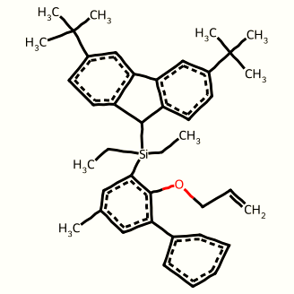 C=CCOc1c(-c2ccccc2)cc(C)cc1[Si](CC)(CC)C1c2ccc(C(C)(C)C)cc2-c2cc(C(C)(C)C)ccc21